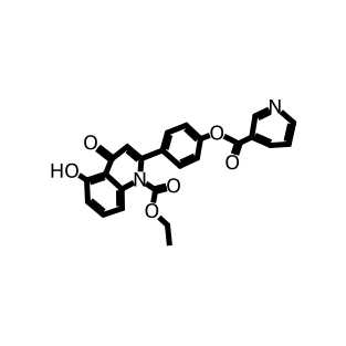 CCOC(=O)n1c(-c2ccc(OC(=O)c3cccnc3)cc2)cc(=O)c2c(O)cccc21